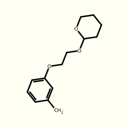 [CH2]c1cccc(OCCOC2CCCCO2)c1